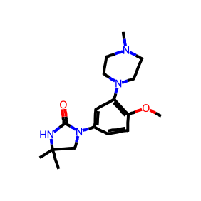 COc1ccc(N2CC(C)(C)NC2=O)cc1N1CCN(C)CC1